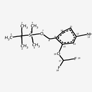 CC(C)(C)[Si](C)(C)OCc1ccc(N)cc1OC(F)F